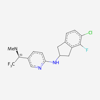 CN[C@@H](c1ccc(NC2Cc3ccc(Cl)c(F)c3C2)nc1)C(F)(F)F